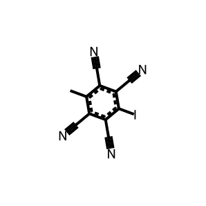 Cc1c(C#N)c(C#N)c(I)c(C#N)c1C#N